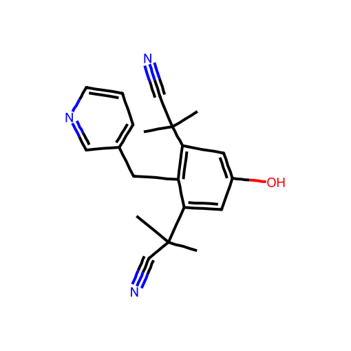 CC(C)(C#N)c1cc(O)cc(C(C)(C)C#N)c1Cc1cccnc1